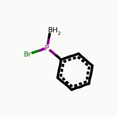 BP(Br)c1ccccc1